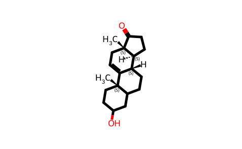 C[C@]12CCC(O)CC1CC[C@@H]1C2=CC[C@]2(C)C(=O)CC[C@@H]12